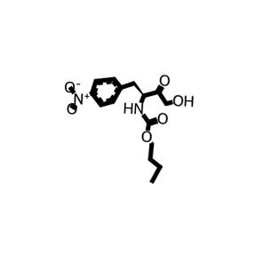 CCCCOC(=O)N[C@@H](Cc1ccc([N+](=O)[O-])cc1)C(=O)CO